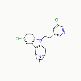 CN1C2CCC1c1c(n(CCc3cncc(Cl)c3)c3ccc(Cl)cc13)C2